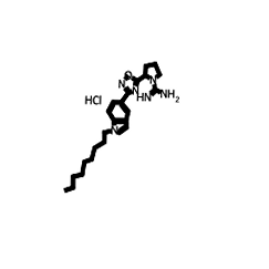 CCCCCCCCCn1ccc2cc(-c3noc(C4CCCN4C(=N)N)n3)ccc21.Cl